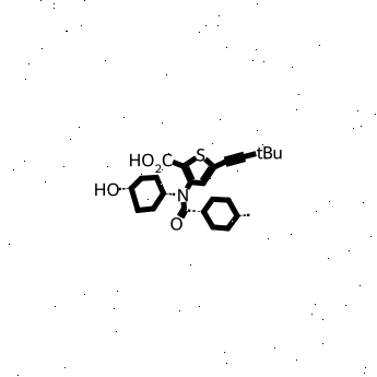 CC(C)(C)C#Cc1cc(N(C(=O)[C@H]2CC[C@@H](C)CC2)[C@H]2CC[C@@H](O)CC2)c(C(=O)O)s1